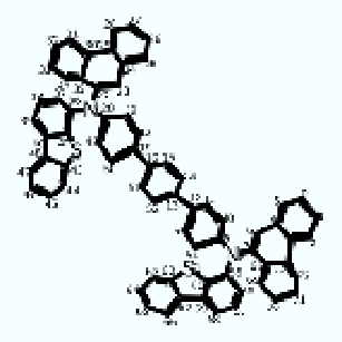 c1ccc2c(c1)cc(N(c1ccc(-c3ccc(-c4ccc(N(c5cc6ccccc6c6ccccc56)c5cccc6c5sc5ccccc56)cc4)cc3)cc1)c1cccc3c1sc1ccccc13)c1ccccc12